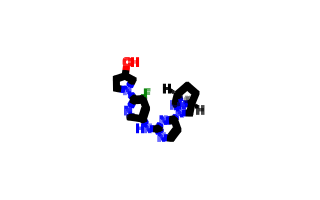 OC1CCN(c2ncc(Nc3nccc(N4C[C@H]5CC[C@@H](C4)N5)n3)cc2F)C1